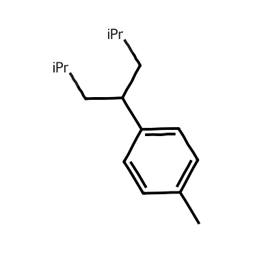 Cc1ccc(C(CC(C)C)CC(C)C)cc1